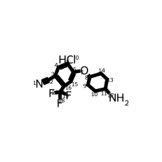 Cl.N#Cc1ccc(OC2CCC(N)CC2)cc1C(F)(F)F